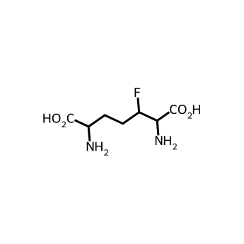 NC(CCC(F)C(N)C(=O)O)C(=O)O